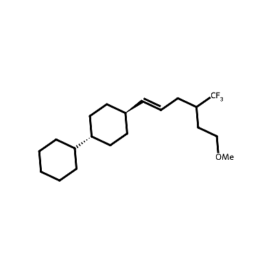 COCCC(CC=C[C@H]1CC[C@H](C2CCCCC2)CC1)C(F)(F)F